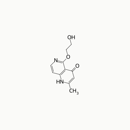 Cc1cc(=O)c2c(OCCO)nccc2[nH]1